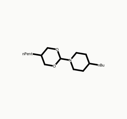 CCCCCC1COC(N2CCC(CCCC)CC2)OC1